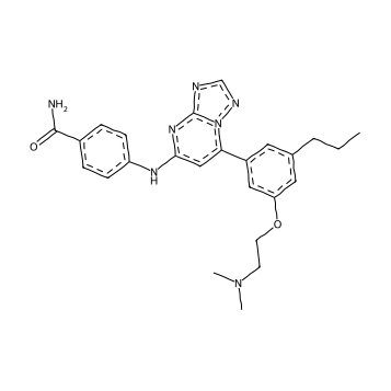 CCCc1cc(OCCN(C)C)cc(-c2cc(Nc3ccc(C(N)=O)cc3)nc3ncnn23)c1